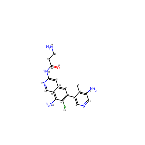 Cc1c(N)cncc1-c1cc2cc(NC(=O)CCN)ncc2c(N)c1F